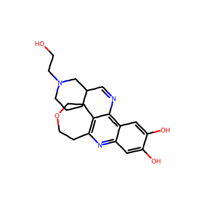 OCCN1CCCC(/C=N\c2c3c(nc4cc(O)c(O)cc24)CCOCC3)C1